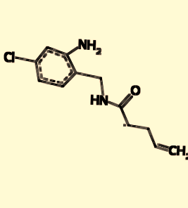 C=CC[CH]C(=O)NCc1ccc(Cl)cc1N